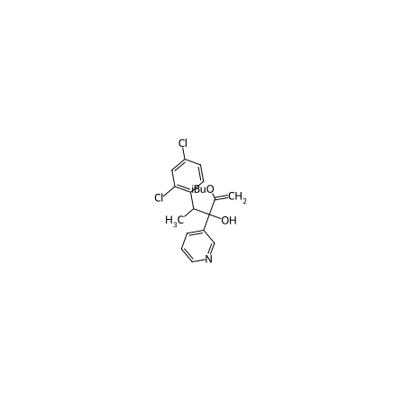 C=C(OCC(C)C)C(O)(c1cccnc1)C(C)c1ccc(Cl)cc1Cl